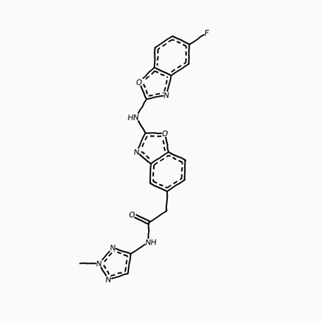 Cn1ncc(NC(=O)Cc2ccc3oc(Nc4nc5cc(F)ccc5o4)nc3c2)n1